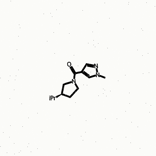 CC(C)[C@@H]1CCN(C(=O)c2cnn(C)c2)C1